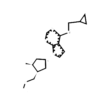 O=S(=O)(O)NC[C@@H]1C[C@@H](n2ccc3c(NCC4CC4)ncnc32)C[C@@H]1O